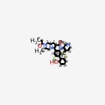 C=CC(=O)N1CC2Cc3c(c4cc(F)c(-c5c(O)cccc5F)c(F)c4n(-c4c(C)ccnc4C(C)C)c3=O)N2CC1C